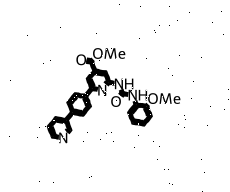 COC(=O)c1cc(NC(=O)Nc2ccccc2OC)nc(-c2ccc(-c3cccnc3)cc2)c1